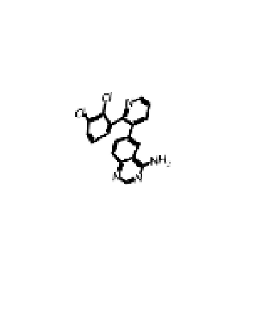 Nc1ncnc2ccc(-c3cccnc3-c3cccc(Cl)c3Cl)cc12